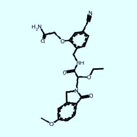 CCOC(C(=O)NCc1ccc(C#N)cc1OCC(N)=O)N1Cc2cc(OC)ccc2C1=O